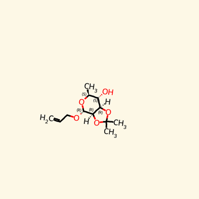 C=CCO[C@@H]1O[C@@H](C)[C@H](O)[C@H]2OC(C)(C)O[C@@H]12